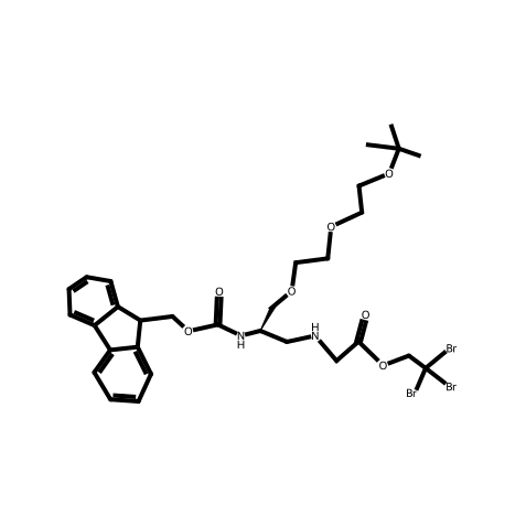 CC(C)(C)OCCOCCOC[C@@H](CNCC(=O)OCC(Br)(Br)Br)NC(=O)OCC1c2ccccc2-c2ccccc21